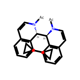 CC(=O)N1C=Cc2cccc(C3CC3)c2[C@H]1[C@@H]1c2c(cccc2C2CC2)C=CN1C(C)=O